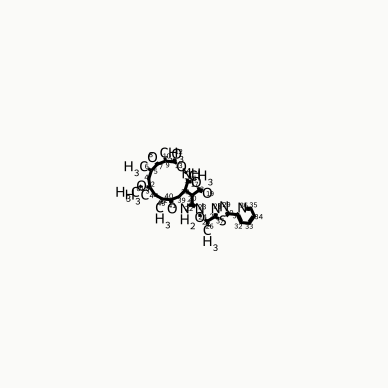 CO[C@@]1(C)CC(C)C(=O)C(C)C(=O)ON[C@@]2(C)OC(=O)C(/C(N)=N/OC(C)c3nnc(-c4ccccn4)s3)C2CC(=O)[C@H](C)C1